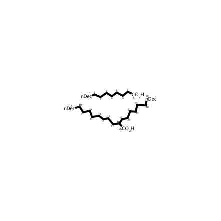 CCCCCCCCCCCCCCCCCC(=O)O.CCCCCCCCCCCCCCCCCCC(CCCCCCCCCCCCCCCC)C(=O)O